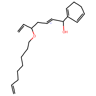 C=CCCCCCCOC(C=C)C/C=C/C(O)C1=CCCC=C1